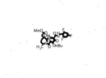 CCCCOc1c2n(cc(C(=O)NCc3c(F)cc(F)cc3F)c1=O)[C@@H]1CN(C2=O)[C@@H](C)CC[C@@]1(O)CC(=O)OC